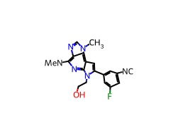 [C-]#[N+]c1cc(F)cc(-c2cc3c4c(ncn4C)c(NC)nc3n2CCO)c1